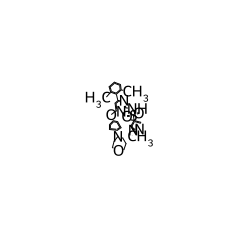 Cc1cccc(C)c1-c1cc(Oc2ccc(N3CCCOCC3)cc2)nc(NS(=O)(=O)c2cnn(C)c2)n1